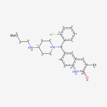 CCc1cc2cc(C(c3ccccc3F)N3CCC(NCCOC)CC3)ccc2[nH]c1=O